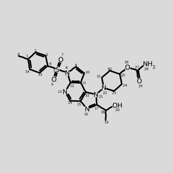 Cc1ccc(S(=O)(=O)n2ccc3c2ncc2nc(C(C)O)n(N4CCC(OC(N)=O)CC4)c23)cc1